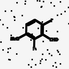 COc1ccc(I)c([C]=O)c1F